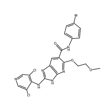 COCCOc1nc2[nH]c(Nc3c(Cl)cncc3Cl)nc2cc1C(=O)Nc1ccc(Br)cc1